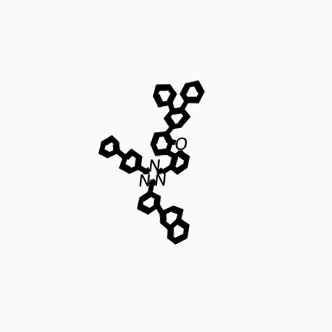 c1ccc(-c2ccc(-c3nc(-c4cccc(-c5ccc6ccccc6c5)c4)nc(-c4cccc5oc6c(-c7ccc(-c8ccccc8)c(-c8ccccc8)c7)cccc6c45)n3)cc2)cc1